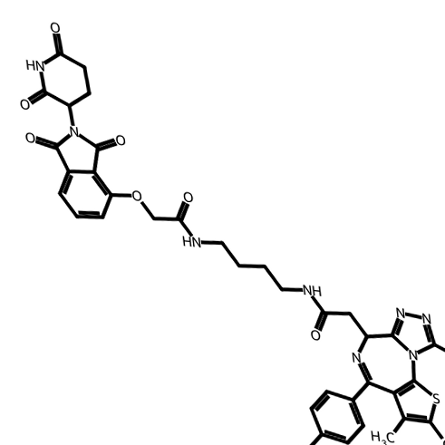 Cc1sc2c(c1C)C(c1ccc(Cl)cc1)=NC(CC(=O)NCCCCNC(=O)COc1cccc3c1C(=O)N(C1CCC(=O)NC1=O)C3=O)c1nnc(C)n1-2